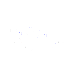 C=CC(=O)N(C)c1cnc2nc(N3CCC(N(C)C)C3)n(Cc3ccccc3)c2c1